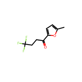 Cc1ccc(C(=O)CCC(F)(F)F)o1